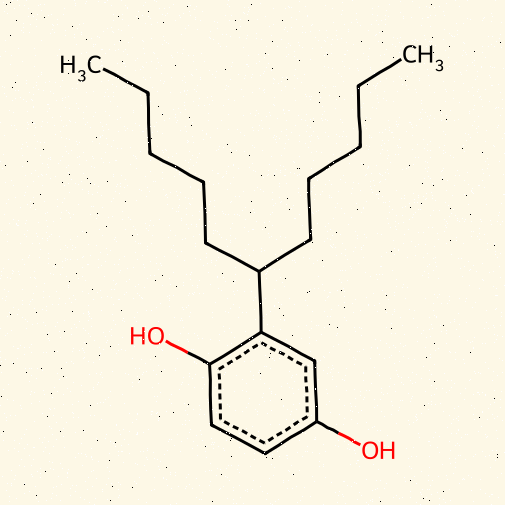 CCCCCC(CCCCC)c1cc(O)ccc1O